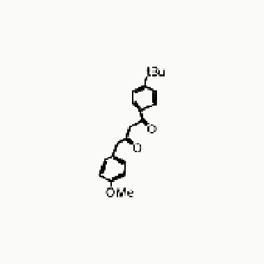 COc1ccc(CC(=O)CC(=O)c2ccc(C(C)(C)C)cc2)cc1